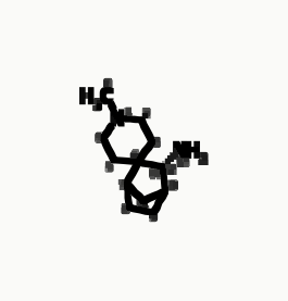 CN1CCC2(CC1)C1CCC(C1)[C@H]2N